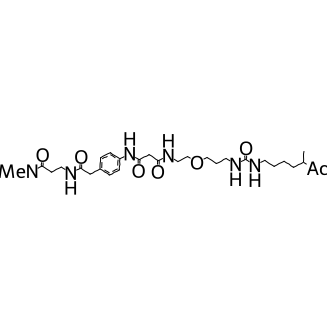 CNC(=O)CCNC(=O)Cc1ccc(NC(=O)CC(=O)NCCOCCCNC(=O)NCCCCC(C)C(C)=O)cc1